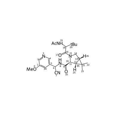 COc1cncc(C(C#N)NC(=O)[C@@H]2[C@@H]3[C@H](CN2C(=O)C(NC(C)=O)C(C)(C)C)C3(C)C)c1